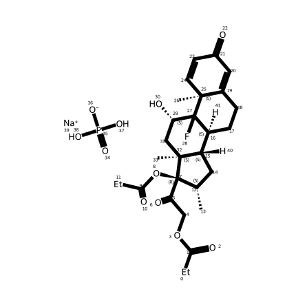 CCC(=O)OCC(=O)[C@@]1(OC(=O)CC)[C@@H](C)C[C@H]2[C@@H]3CCC4=CC(=O)C=C[C@]4(C)C3(F)[C@@H](O)C[C@@]21C.O=P([O-])(O)O.[Na+]